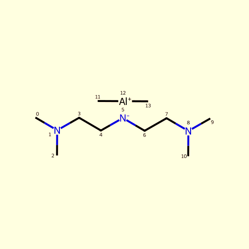 CN(C)CC[N-]CCN(C)C.[CH3][Al+][CH3]